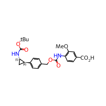 COc1cc(C(=O)O)ccc1NC(=O)OCc1ccc([C@H]2C[C@@H]2NC(=O)OC(C)(C)C)cc1